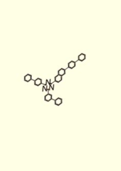 c1ccc(-c2ccc(-c3ccc4cc(-c5nc(-c6ccc(-c7ccccc7)cc6)nc(-c6cccc(-c7ccccc7)c6)n5)ccc4c3)cc2)cc1